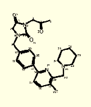 CC(=O)CN1C(=O)CN(Cc2ccc(-c3ccc(F)c(CN4CCCCC4)n3)cc2)C1=O